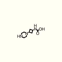 O=C(O)N[C@H]1C[C@@H](N2CCNCC2)C1